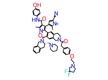 Cc1c(-c2c(C(=O)Nc3ccc(O)cc3)c(C)n(C)c2-c2cc3c(cc2C(=O)N2Cc4ccccc4C[C@H]2CN2CCCCC2)CN(C(=O)Cc2ccc(OCCN4CCC(F)(F)C4)cc2)CC3)cc(C#N)n1C